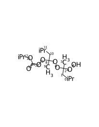 CC(C)CC(C)(OO)OOC(C)(CC(C)C)OOC(=O)OC(C)C